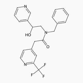 O=C(Cc1ccnc(C(F)(F)F)c1)N(Cc1ccccc1)CC(O)c1cccnc1